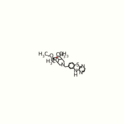 CCOC(=O)C(C)C1C2CN(Cc3ccc4c(c3)Nc3nccnc3S4)CC1[C@H](C)C[C@H]2C